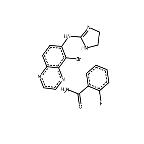 Brc1c(NC2=NCCN2)ccc2nccnc12.NC(=O)c1ccccc1F